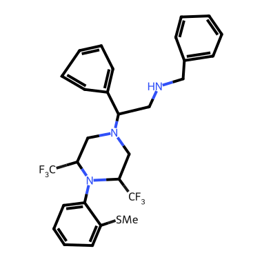 CSc1ccccc1N1C(C(F)(F)F)CN(C(CNCc2ccccc2)c2ccccc2)CC1C(F)(F)F